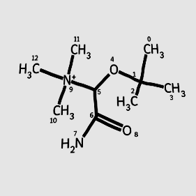 CC(C)(C)OC(C(N)=O)[N+](C)(C)C